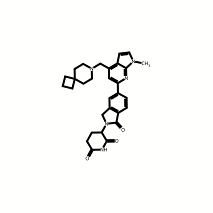 Cn1ccc2c(CN3CCC4(CCC4)CC3)cc(-c3ccc4c(c3)CN(C3CCC(=O)NC3=O)C4=O)nc21